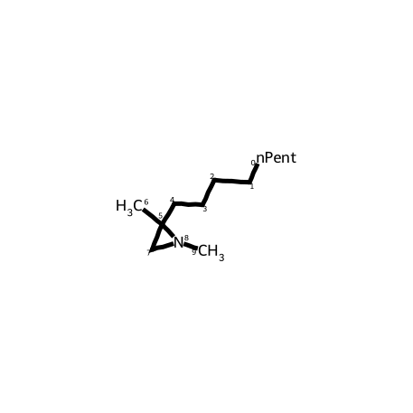 CCCCCCCCCC1(C)CN1C